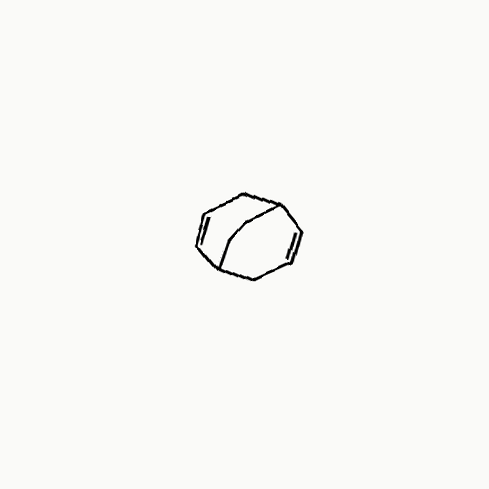 C1=CC2CC=CC(C1)CC2